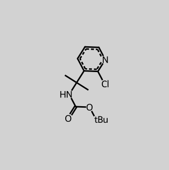 CC(C)(C)OC(=O)NC(C)(C)c1cccnc1Cl